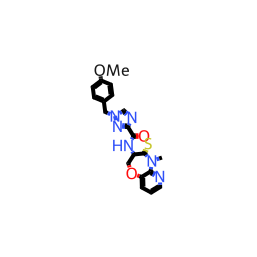 COc1ccc(Cn2cnc(C(=O)NC3COc4cccnc4N(C)C3=S)n2)cc1